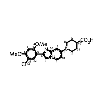 COc1cc(OC)c(-c2cn3ccc(N4CCC(C(=O)O)CC4)cc3n2)cc1Cl